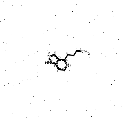 C=CCCc1nccc2[nH]ncc12